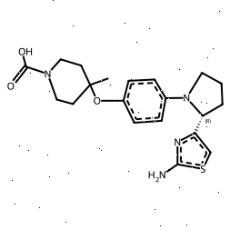 CC1(Oc2ccc(N3CCC[C@@H]3c3csc(N)n3)cc2)CCN(C(=O)O)CC1